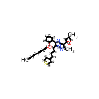 C#CC#CC#CC#COc1ccccc1-c1nc2c(-c3cc(C)co3)c(C)nn2/c1=C\C=C\C=C1C=CSC=C1